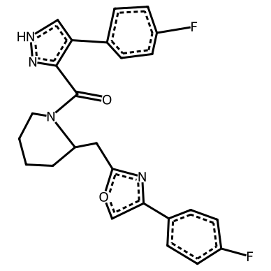 O=C(c1n[nH]cc1-c1ccc(F)cc1)N1CCCCC1Cc1nc(-c2ccc(F)cc2)co1